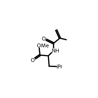 C=C(C)C(=O)NC(CC(C)C)C(=O)OC